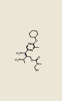 Cc1nc(/C(N)=C(\COC(=O)N(C)CC(C)C)N(C)N)cnc1OC1CCCCC1